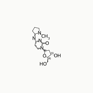 CN1CCCC1=Nc1ccn([C@H]2C[C@H](O)[C@@H](CO)O2)c(=O)n1